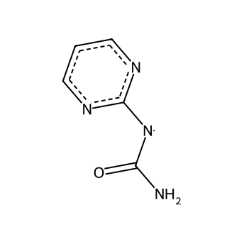 NC(=O)[N]c1ncccn1